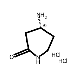 Cl.Cl.N[C@@H]1CCNC(=O)C1